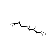 CCOCNCCN